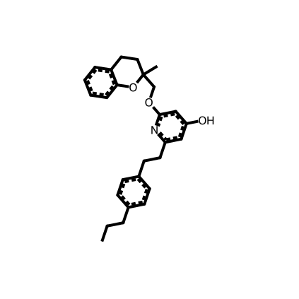 CCCc1ccc(CCc2cc(O)cc(OCC3(C)CCc4ccccc4O3)n2)cc1